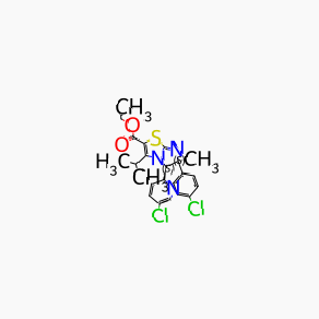 CCOC(=O)C1=C(C(C)C)N2C(=N[C@@](C)(c3ccc(Cl)cc3)[C@H]2c2ccc(Cl)cn2)S1